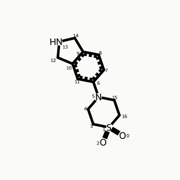 O=S1(=O)CCN(c2ccc3c(c2)CNC3)CC1